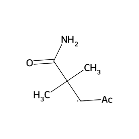 CC(=O)[CH]C(C)(C)C(N)=O